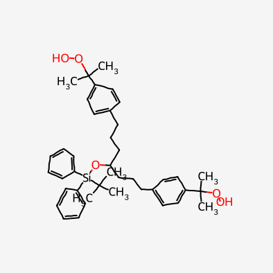 CC(C)(OO)c1ccc(CCCC(CCCc2ccc(C(C)(C)OO)cc2)O[Si](c2ccccc2)(c2ccccc2)C(C)(C)C)cc1